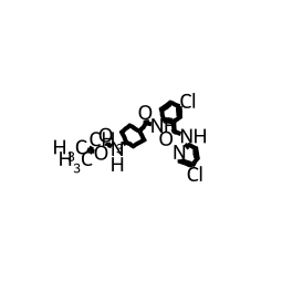 CC(C)(C)OC(=O)NC1CCC(C(=O)Nc2ccc(Cl)cc2C(=O)Nc2ccc(Cl)cn2)CC1